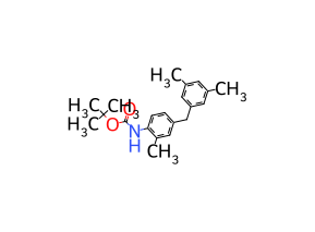 Cc1cc(C)cc(Cc2ccc(NC(=O)OC(C)(C)C)c(C)c2)c1